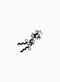 CCCCCC(=O)OC[C@@]1(C)O[C@@H](n2cnc3c(N)nc(F)nc32)C[C@@H]1OC(=O)CCCCC